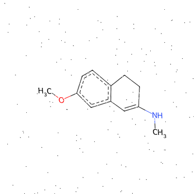 CNC1=Cc2cc(OC)ccc2CC1